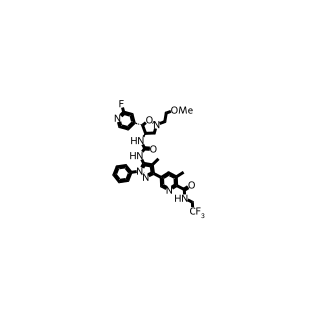 COCCN1C[C@@H](NC(=O)Nc2c(C)c(-c3cnc(C(=O)NCC(F)(F)F)c(C)c3)nn2-c2ccccc2)[C@H](c2ccnc(F)c2)O1